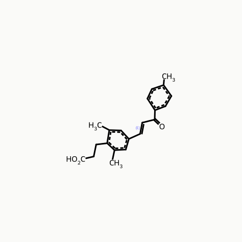 Cc1ccc(C(=O)/C=C/c2cc(C)c(CCC(=O)O)c(C)c2)cc1